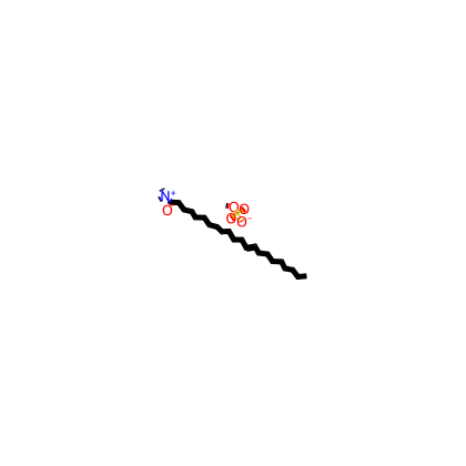 CCCCCCCCC=CCCCCCCCCCCCC(=O)[N+](C)(C)C.COS(=O)(=O)[O-]